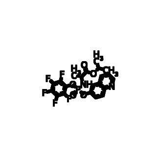 CC(C)OC(=O)[C@H](C)NP(=O)(Oc1ccc2ncccc2c1)Oc1c(F)c(F)c(F)c(F)c1F